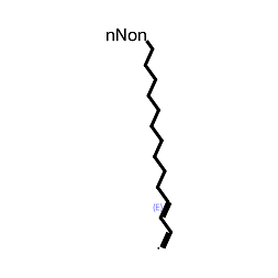 [CH]=C/C=C/CCCCCCCCCCCCCCCCCCC